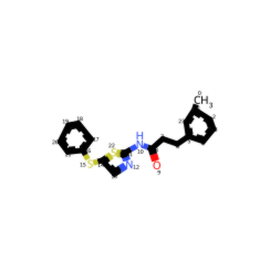 Cc1cccc(CCC(=O)Nc2ncc(Sc3ccccc3)s2)c1